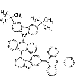 CC(C)(C)c1ccc2c(c1)c1cc(C(C)(C)C)ccc1n2-c1c2ccccc2c(-c2cccc3sc4cc(-c5c6ccccc6c(-c6ccccc6)c6ccccc56)ccc4c23)c2ccccc12